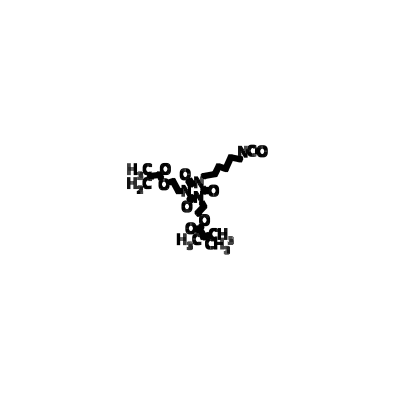 C=C(C)C(=O)OCCn1c(=O)n(CCCCCCN=C=O)c(=O)n(CCOC(=O)C(C)(C)C)c1=O